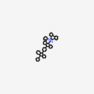 c1ccc(-c2c3ccccc3c(-c3ccc(-c4c5ccccc5c(-c5nc6c7ccccc7c7ccccc7c6n5-c5ccccc5)c5ccccc45)cc3)c3ccccc23)cc1